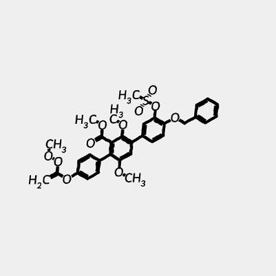 C=C(OOC)Oc1ccc(-c2c(OC)cc(-c3ccc(OCc4ccccc4)c(OS(C)(=O)=O)c3)c(OC)c2C(=O)OC)cc1